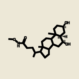 CONC(=O)CCC(C)C1CCC2C3C[C@H](O)[C@@H]4C[C@H](O)CCC4(C)C3CCC12C